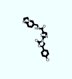 O=C(NCc1ccc2nccn2c1)c1cnc(N2CC(c3ccc(Cl)cc3)OC2=O)s1